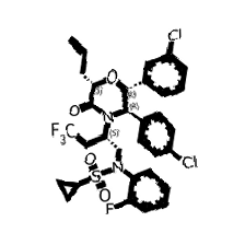 C=CC[C@@H]1O[C@H](c2cccc(Cl)c2)[C@@H](c2ccc(Cl)cc2)N([C@H](CN(c2ccccc2F)S(=O)(=O)C2CC2)CC(F)(F)F)C1=O